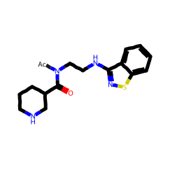 CC(=O)N(CCNc1nsc2ccccc12)C(=O)C1CCCNC1